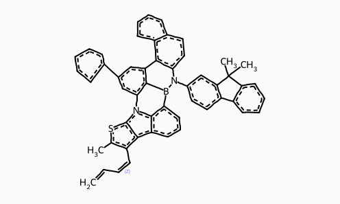 C=C/C=C\c1c(C)sc2c1c1cccc3c1n2-c1cc(-c2ccccc2)cc2c1B3N(c1ccc3c(c1)C(C)(C)c1ccccc1-3)c1ccc3ccccc3c1-2